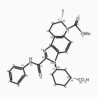 COC(=O)N1c2ccc3c(nc(C(=O)Nc4ccccc4)n3[C@@H]3CCC[C@@H](C(=O)O)C3)c2CC[C@@H]1C